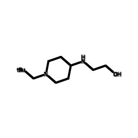 CC(C)(C)CN1CCC(NCCO)CC1